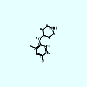 Cc1cc(C)c(OC2CCNCC2)nn1